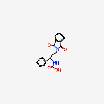 O=C(O)NC(CCN1C(=O)c2ccccc2C1=O)c1ccccc1